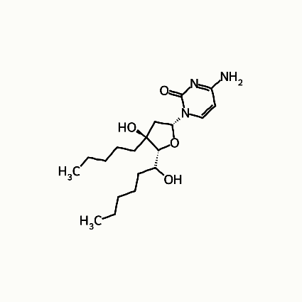 CCCCCC(O)[C@H]1O[C@@H](n2ccc(N)nc2=O)C[C@@]1(O)CCCCC